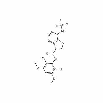 COc1cc(OC)c(Cl)c(NC(=O)c2csc3c(NS(C)(=O)=O)ncnc23)c1Cl